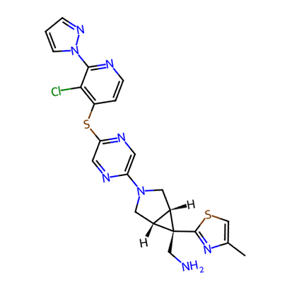 Cc1csc([C@]2(CN)[C@@H]3CN(c4cnc(Sc5ccnc(-n6cccn6)c5Cl)cn4)C[C@@H]32)n1